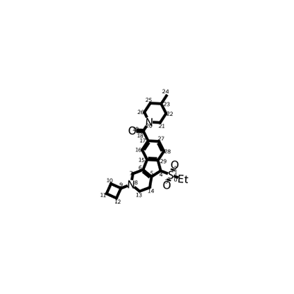 CCS(=O)(=O)C1C2=C(CN(C3CCC3)CC2)c2cc(C(=O)N3CCC(C)CC3)ccc21